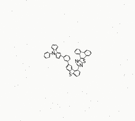 c1ccc(-n2c3ccccc3c3cc(-c4cccc(-c5ccc6sc7cccc(-c8cnc9c(n8)sc8c%10ccccc%10c%10ccccc%10c98)c7c6c5)c4)ccc32)cc1